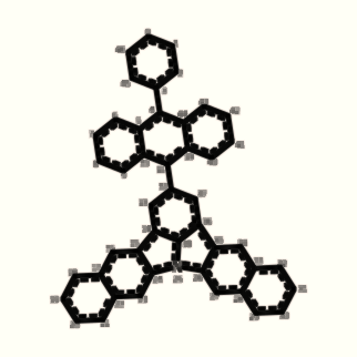 c1ccc(-c2c3ccccc3c(-c3cc4c5cc6ccccc6cc5n5c6cc7ccccc7cc6c(c3)c45)c3ccccc23)cc1